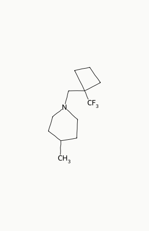 CC1CCN(CC2(C(F)(F)F)CCC2)CC1